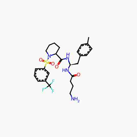 Cc1ccc(C[C@@H](NC(=O)CCCN)NC(=O)C2CCCCN2S(=O)(=O)c2cccc(C(F)(F)F)c2)cc1